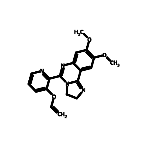 C=COc1cccnc1C1=Nc2cc(OC)c(OC)cc2C2=NCCN21